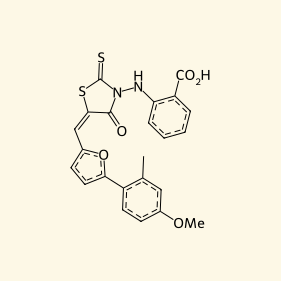 COc1ccc(-c2ccc(C=C3SC(=S)N(Nc4ccccc4C(=O)O)C3=O)o2)c(C)c1